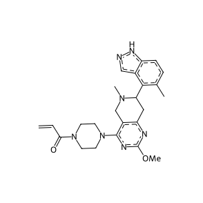 C=CC(=O)N1CCN(c2nc(OC)nc3c2CN(C)C(c2c(C)ccc4[nH]ncc24)C3)CC1